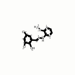 COc1nccnc1N/N=C/c1cc(Cl)cc(Cl)c1O